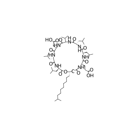 CC(C)CCCCCCCC[C@H]1CC(=O)N[C@H](CCC(=O)O)C(=O)N[C@H](CC(C)C)C(=O)N[C@@H](CC(C)C)C(=O)NC(C(C)C)C(=O)N[C@H](CC(=O)O)C(=O)N[C@@H](CC(C)C)C(=O)N[C@H](CC(C)C)C(=O)O1